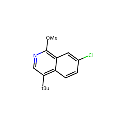 COc1ncc(C(C)(C)C)c2ccc(Cl)cc12